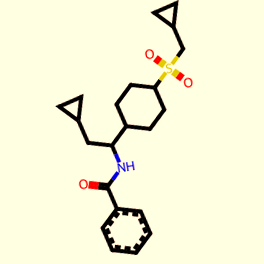 O=C(NC(CC1CC1)C1CCC(S(=O)(=O)CC2CC2)CC1)c1ccccc1